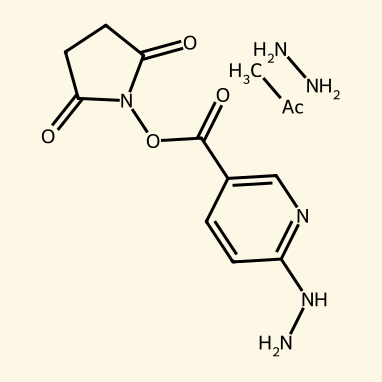 CC(C)=O.NN.NNc1ccc(C(=O)ON2C(=O)CCC2=O)cn1